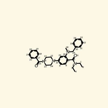 CCN(CC)C(=O)c1ccc(N2CCN(C(=O)c3ccccc3)CC2)cc1N(C)Cc1ccccc1